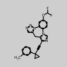 Cc1cccc(C2(C#Cc3ncn4c3Cc3cnnn3-c3cc(OC(F)F)ccc3-4)CC2)c1